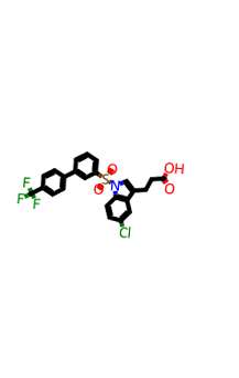 O=C(O)CCc1cn(S(=O)(=O)c2cccc(-c3ccc(C(F)(F)F)cc3)c2)c2ccc(Cl)cc12